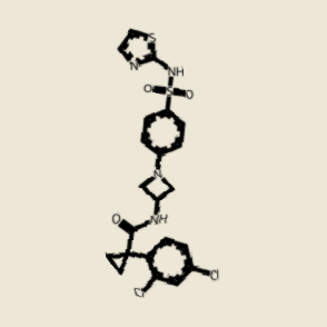 O=C(NC1CN(c2ccc(S(=O)(=O)Nc3nccs3)cc2)C1)C1(c2ccc(Cl)cc2Cl)CC1